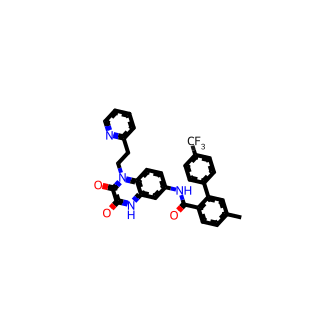 Cc1ccc(C(=O)Nc2ccc3c(c2)[nH]c(=O)c(=O)n3CCc2ccccn2)c(-c2ccc(C(F)(F)F)cc2)c1